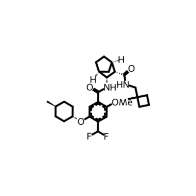 COc1cc(C(F)F)c(O[C@H]2CC[C@H](C)CC2)cc1C(=O)N[C@@H]1[C@H]2CC[C@H](C2)[C@@H]1C(=O)NCC1(C)CCC1